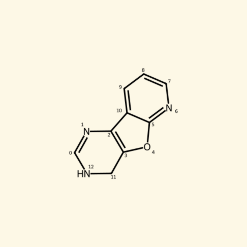 C1=Nc2c(oc3ncccc23)CN1